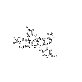 Cn1cnc(C[C@H](NC(=O)[C@H](Cc2ccc(O)cc2)NC(=O)[C@@H]2CCCN2)C(=O)N[C@@H](CCC(C)(C)C)C(=O)O)c1